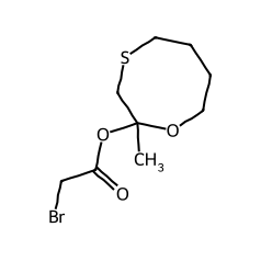 CC1(OC(=O)CBr)CSCCCCO1